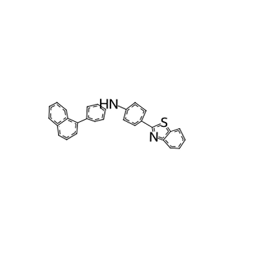 c1ccc2c(-c3ccc(Nc4ccc(-c5nc6ccccc6s5)cc4)cc3)cccc2c1